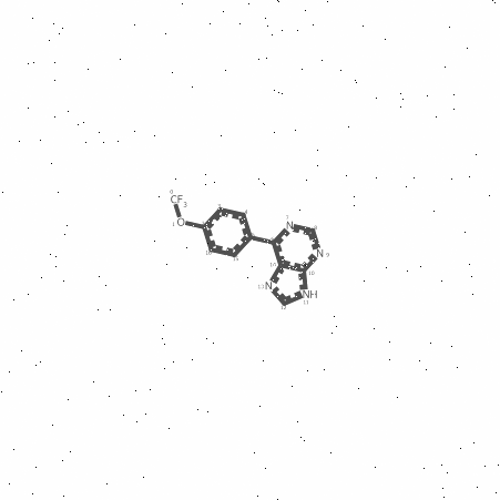 FC(F)(F)Oc1ccc(-c2ncnc3[nH]cnc23)cc1